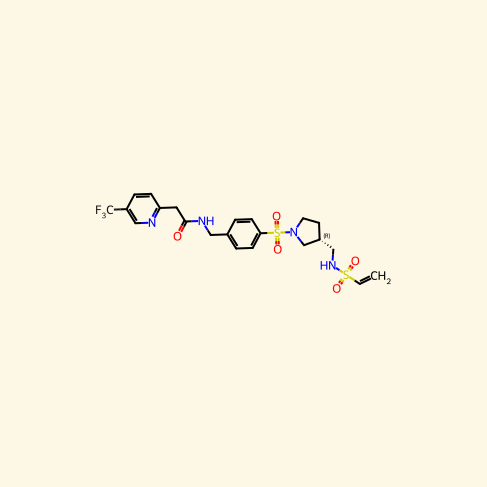 C=CS(=O)(=O)NC[C@H]1CCN(S(=O)(=O)c2ccc(CNC(=O)Cc3ccc(C(F)(F)F)cn3)cc2)C1